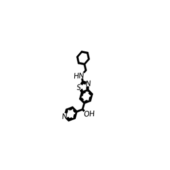 OC(c1ccncc1)c1ccc2nc(NCC3CCCCC3)sc2c1